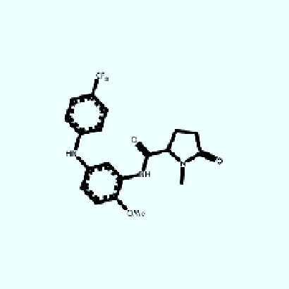 COc1ccc(Nc2ccc(C(F)(F)F)cc2)cc1NC(=O)C1CCC(=O)N1C